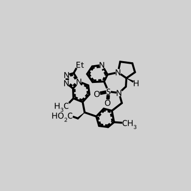 CCc1nnc2c(C)c([C@H](CC(=O)O)c3ccc(C)c(CN4C[C@H]5CCCN5c5ncccc5S4(=O)=O)c3)ccn12